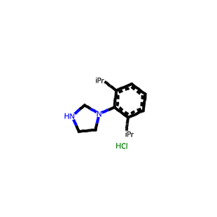 CC(C)c1cccc(C(C)C)c1N1CCNC1.Cl